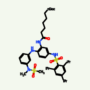 CCCCCCCCCCCCCCCC(=O)Nc1cc(NS(=O)(=O)c2c(C(C)C)cc(C(C)C)cc2C(C)C)ccc1Nc1cccc(N(C)S(C)(=O)=O)c1